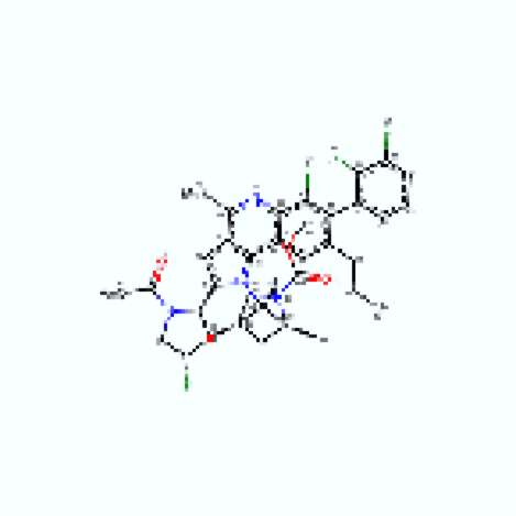 COC(=O)N1C[C@@H](F)C[C@@H]1c1cc2c(SC)nc3c(F)c(-c4cccc(Cl)c4Cl)c(CCC#N)cc3c2n1[C@H]1[C@@H]2C[C@H]1N(C(=O)OC(C)(C)C)C2